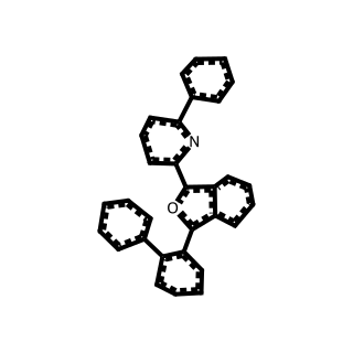 c1ccc(-c2cccc(-c3oc(-c4ccccc4-c4ccccc4)c4ccccc34)n2)cc1